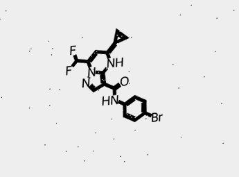 O=C(Nc1ccc(Br)cc1)c1cnn2c1NC(=C1C=C1)C=C2C(F)F